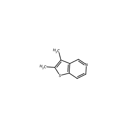 Cc1sc2ccncc2c1C